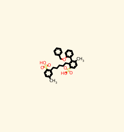 Cc1ccc(S(=O)(=O)O)c(CCCCCc2c(S(=O)(=O)O)ccc(C)c2-c2ccccc2OCc2ccccc2)c1